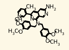 COc1ccc(CN(Cc2ccc(OC)c(OC)c2)c2nc(-c3cnccc3C)cc3cc(N)ncc23)cc1OC